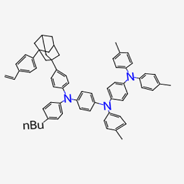 C=Cc1ccc(C23CC4CC(C2)CC(c2ccc(N(c5ccc(CCCC)cc5)c5ccc(N(c6ccc(C)cc6)c6ccc(N(c7ccc(C)cc7)c7ccc(C)cc7)cc6)cc5)cc2)(C4)C3)cc1